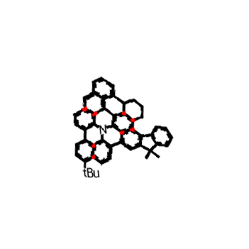 CC(C)(C)c1ccc(-c2ccccc2N(c2ccccc2C2=c3c(C4CCCCC4)cccc3=CCC2)c2ccccc2-c2ccc3c(c2)C(C)(C)c2ccccc2-3)cc1